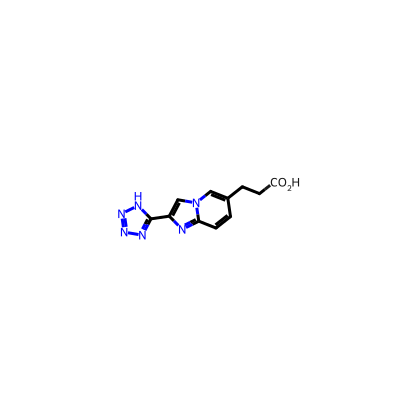 O=C(O)CCc1ccc2nc(-c3nnn[nH]3)cn2c1